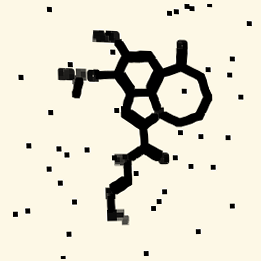 COc1cc2c3c(cc(C(=O)NC=NN)n3CCCCC2=O)c1Cl.CS(=O)(=O)O